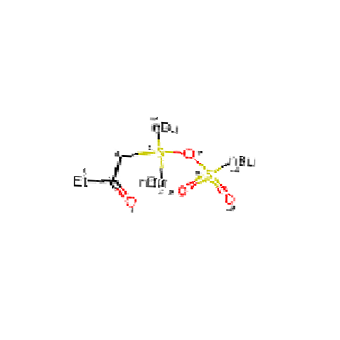 CCCCS(CCCC)(CC(=O)CC)OS(=O)(=O)CCCC